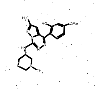 COc1ccc(-c2nnc(N[C@@H]3CCCN(C)C3)n3nc(C)cc23)c(O)c1